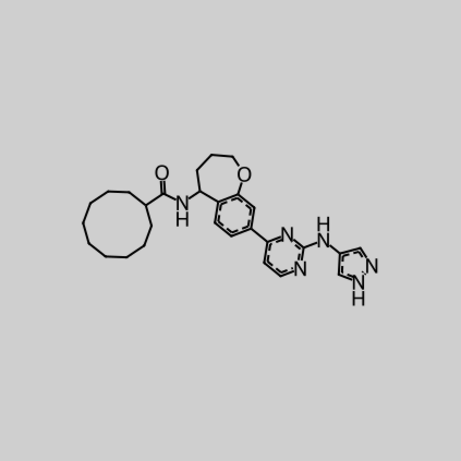 O=C(NC1CCCOc2cc(-c3ccnc(Nc4cn[nH]c4)n3)ccc21)C1CCCCCCCCC1